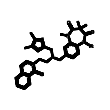 CCN1C(=O)C(C)(C)C(=O)N(C)c2cc(CN(CCn3ccc4ccccc4c3=O)Cc3cc(C)c(C)s3)ccc21